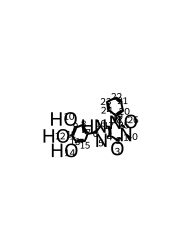 Cn1c(=O)c2nc(-c3cc(O)c(O)c(O)c3)[nH]c2n(-c2ccccc2)c1=O